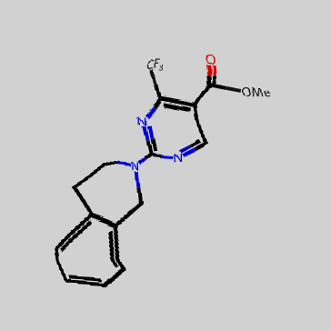 COC(=O)c1cnc(N2CCc3ccccc3C2)nc1C(F)(F)F